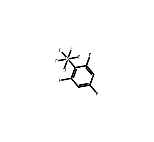 Fc1cc(F)c(S(F)(F)(F)(F)Cl)c(F)c1